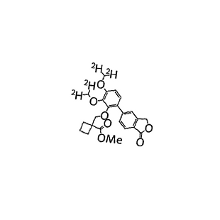 [2H]C([2H])Oc1ccc(-c2ccc3c(c2)COC3=O)c(OCC2(C(=O)OC)CCC2)c1OC([2H])[2H]